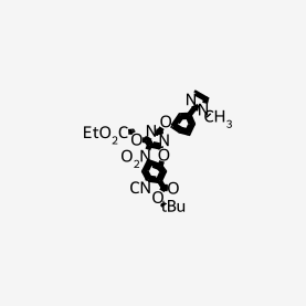 CCOC(=O)COc1nc(Oc2cccc(C3=NCCN3C)c2)nc(Oc2ccc(C#N)c(C(=O)OC(C)(C)C)c2)c1[N+](=O)[O-]